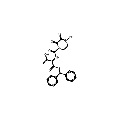 CCN1CCN(C(=O)NC(C(=O)OC(c2ccccc2)c2ccccc2)C(C)O)C(=O)C1=O